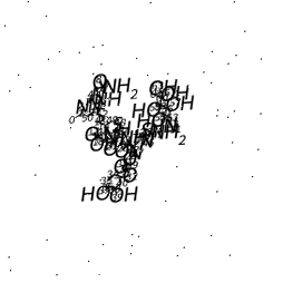 CC1=NC2=CN(C(N)=O)NN2C(SCC2=C(C(=O)O)N3C(=O)[C@@H](NC(=O)/C(=N\OCS(=O)(=O)c4ccc(O)c(O)c4)c4csc(N)n4)[C@H]3SC2)=C1.CNC[C@H](O)[C@@H](O)[C@H](O)[C@H](O)CO